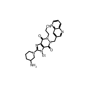 CCn1c(N2CCCC(N)C2)nc2c(=O)n(CCC#N)n(Cc3cnc4cccnc4c3)c(=O)c21